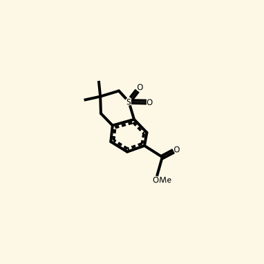 COC(=O)c1ccc2c(c1)S(=O)(=O)CC(C)(C)C2